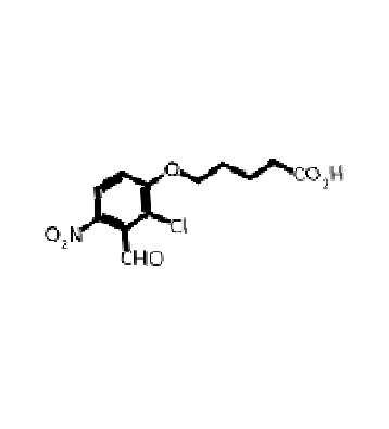 O=Cc1c([N+](=O)[O-])ccc(OCCCCC(=O)O)c1Cl